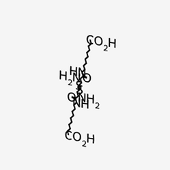 NC(CSSCC(N)C(=O)NCCCCCCCCCC(=O)O)C(=O)NCCCCCCCCCC(=O)O